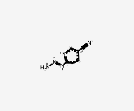 N#Cc1ccc(N=NN)nc1